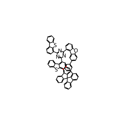 c1cc(-c2ccc3oc4cccc(-c5nc(-c6cccc7c6sc6ccccc67)nc(-c6cccc7sc8ccccc8c67)n5)c4c3c2)cc(-c2cccc3c2C2(c4ccccc4-c4ccccc42)c2ccccc2-3)c1